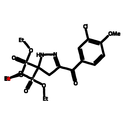 CCOP(=O)(OCC)C1(P(=O)(OCC)OCC)CC(C(=O)c2ccc(OC)c(Cl)c2)=NN1